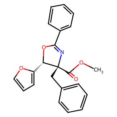 COC(=O)[C@@]1(Cc2ccccc2)N=C(c2ccccc2)O[C@H]1c1ccco1